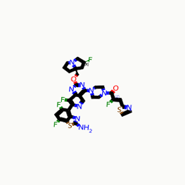 Nc1nc2c(-c3ncc4c(N5CCN(C(=O)/C(F)=C/c6nccs6)CC5)nc(OC[C@@]56CCCN5C[C@H](F)C6)nc4c3F)c(F)cc(F)c2s1